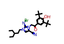 CCC(CC)CCn1cc(C#N)n(CC(=O)c2cc(C(C)(C)C)c(O)c(C(C)(C)C)c2)/c1=N\Br